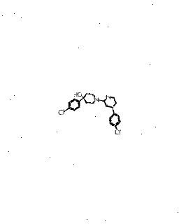 OC1(c2ccc(Cl)cc2)CCN(C2CC(c3ccc(Cl)cc3)CC[N]2)CC1